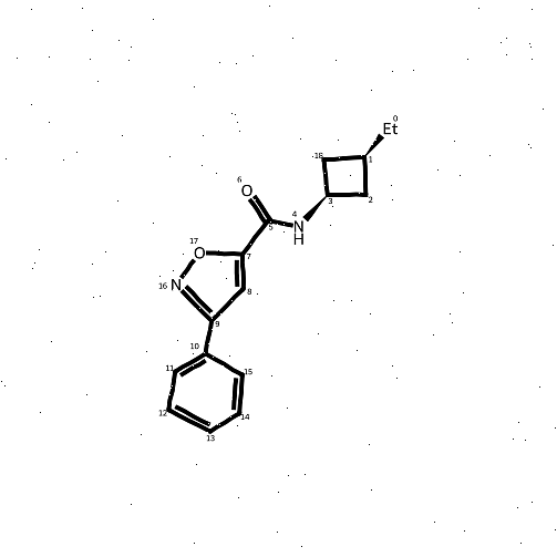 CC[C@H]1C[C@@H](NC(=O)c2cc(-c3ccccc3)no2)C1